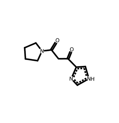 O=C(CC(=O)N1CCCC1)c1c[nH]cn1